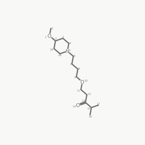 COC1CCN(CCCCOCCC(=O)C(C)C)CC1